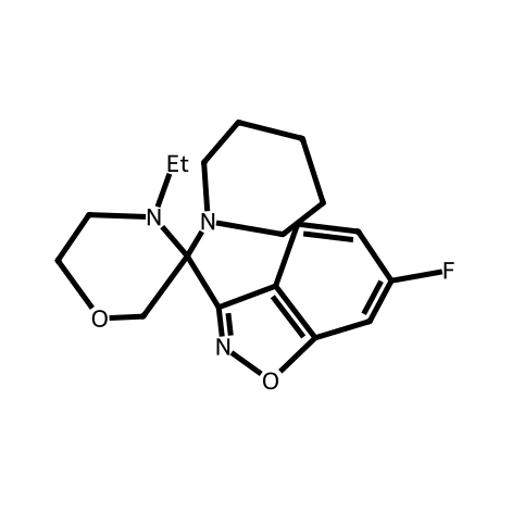 CCN1CCOCC1(c1noc2cc(F)ccc12)N1CCCCC1